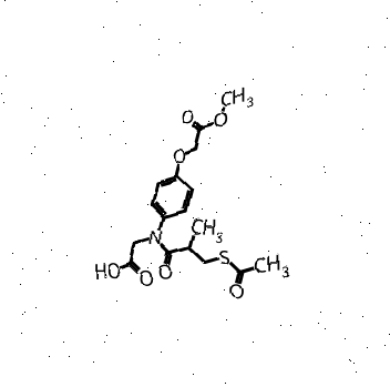 COC(=O)COc1ccc(N(CC(=O)O)C(=O)C(C)CSC(C)=O)cc1